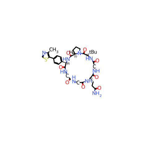 Cc1ncsc1-c1ccc([C@H]2NC(=O)[C@@H]3CCCN3C(=O)[C@H](C(C)(C)C)NC(=O)CNC(=O)[C@H](CCC(N)=O)NC(=O)CNC(=O)CNC2=O)cc1